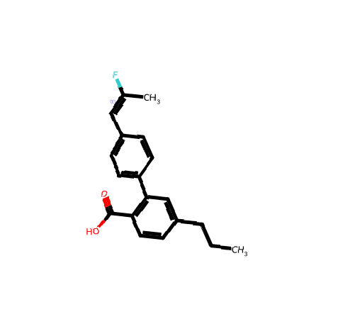 CCCc1ccc(C(=O)O)c(-c2ccc(/C=C(\C)F)cc2)c1